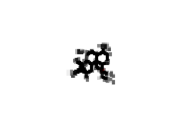 C=C1C(=O)[C@]23CC[C@H]1CC2C1(CCCC)C(OC)OCC(C)C1C[C@H]3O